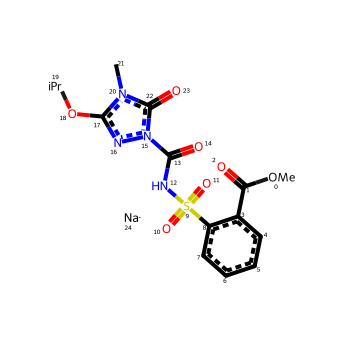 COC(=O)c1ccccc1S(=O)(=O)NC(=O)n1nc(OC(C)C)n(C)c1=O.[Na]